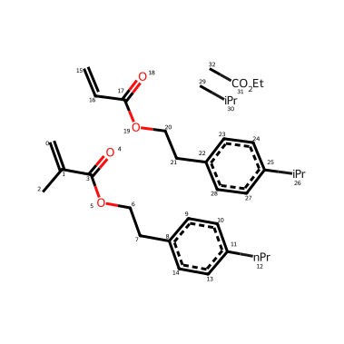 C=C(C)C(=O)OCCc1ccc(CCC)cc1.C=CC(=O)OCCc1ccc(C(C)C)cc1.CC(C)C.CCOC(C)=O